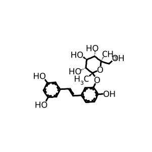 C[C@]1(Oc2cc(/C=C/c3cc(O)cc(O)c3)ccc2O)O[C@](C)(CO)[C@@H](O)[C@H](O)[C@H]1O